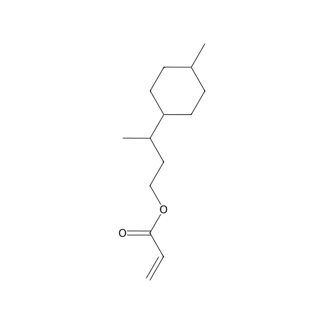 C=CC(=O)OCCC(C)C1CCC(C)CC1